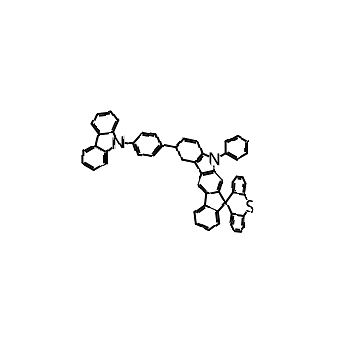 C1=CC(c2ccc(-n3c4ccccc4c4ccccc43)cc2)Cc2c1n(-c1ccccc1)c1cc3c(cc21)-c1ccccc1C31c2ccccc2Sc2ccccc21